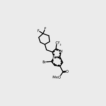 COC(=O)c1cc(Br)n2c(CC3CCC(F)(F)CC3)c(C(F)(F)F)nc2c1